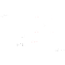 CCCCCCCCCCCCOS(=O)(=O)OCCCCCCCCCCC.CCO.[NaH]